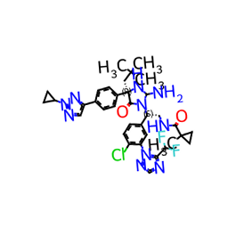 CC(C)(C)C[C@]1(c2ccc(-c3cnn(C4CC4)n3)cc2)NC(N)N([C@H](CNC(=O)C2(C)CC2)c2ccc(Cl)c(-n3ncnc3C(F)F)c2)C1=O